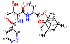 CC(C)C[C@H](NC(=O)[C@@H](NC(=O)c1cccnc1)[C@@H](C)O)B1O[C@@H]2C[C@@H]3C[C@@H](C3(C)C)[C@]2(C)O1